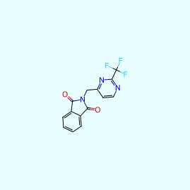 O=C1c2ccccc2C(=O)N1Cc1ccnc(C(F)(F)F)n1